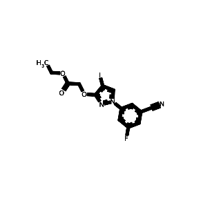 CCOC(=O)COc1nn(-c2cc(F)cc(C#N)c2)cc1I